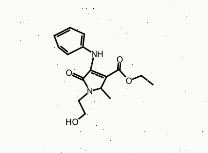 CCOC(=O)C1=C(Nc2ccccc2)C(=O)N(CCO)C1C